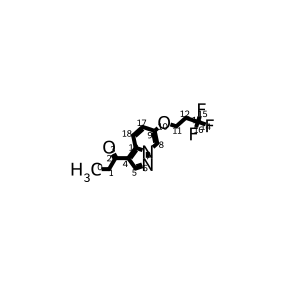 CCC(=O)c1cnn2cc(OCCC(F)(F)F)ccc12